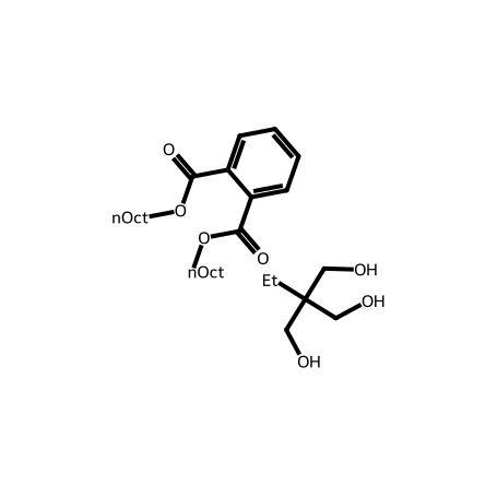 CCC(CO)(CO)CO.CCCCCCCCOC(=O)c1ccccc1C(=O)OCCCCCCCC